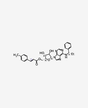 CC[C@H](Nc1ncnc2c1ncn2[C@@H]1O[C@H](COC(=O)/C=C/c2ccc(C)cc2)[C@H](O)C1O)c1ccccc1